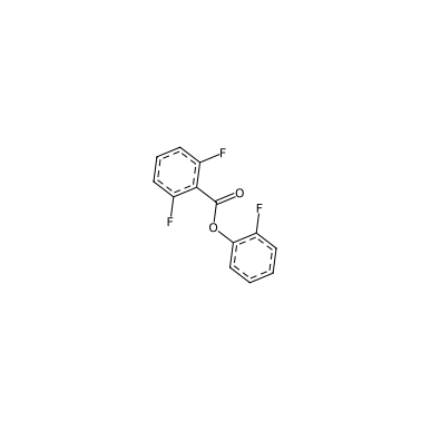 O=C(Oc1ccccc1F)c1c(F)cccc1F